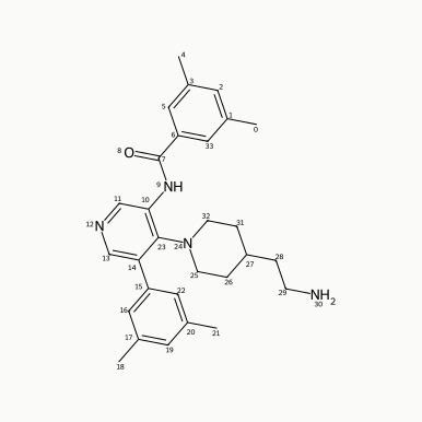 Cc1cc(C)cc(C(=O)Nc2cncc(-c3cc(C)cc(C)c3)c2N2CCC(CCN)CC2)c1